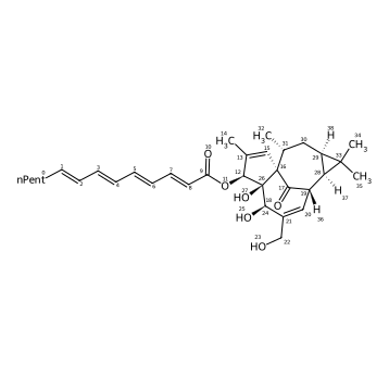 CCCCC/C=C/C=C/C=C/C=C/C(=O)O[C@H]1C(C)=C[C@]23C(=O)[C@@H](C=C(CO)[C@@H](O)[C@]12O)[C@H]1[C@@H](C[C@H]3C)C1(C)C